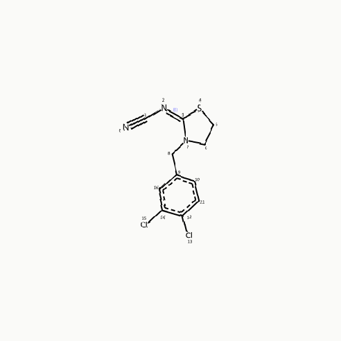 N#C/N=C1/SCCN1Cc1ccc(Cl)c(Cl)c1